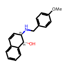 COc1ccc(CN[C@@H]2C=Cc3ccccc3[C@H]2O)cc1